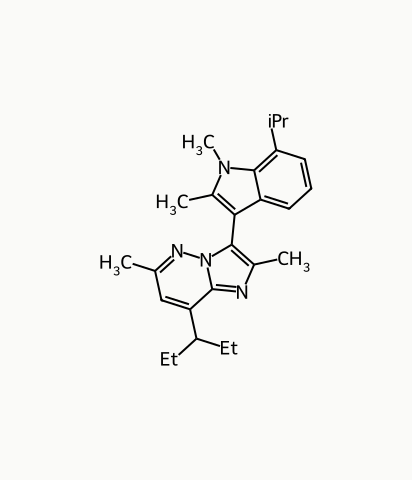 CCC(CC)c1cc(C)nn2c(-c3c(C)n(C)c4c(C(C)C)cccc34)c(C)nc12